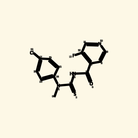 CN(C(=S)NC(=O)c1ccncc1F)c1ccc(Cl)cc1